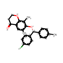 Cc1cc2c(c(C)c1O[C@@H](c1ccc(F)cc1)c1ccc(C#N)cc1)OCCC2=O